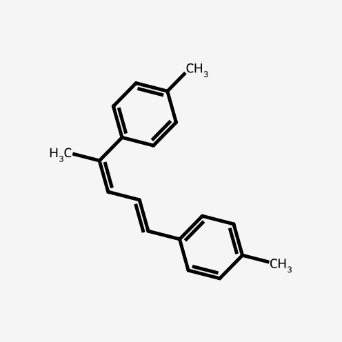 CC(=CC=Cc1ccc(C)cc1)c1ccc(C)cc1